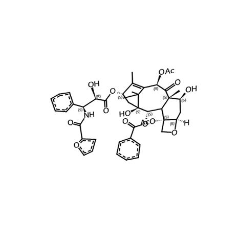 CC(=O)O[C@H]1C(=O)[C@@]2(C)C([C@H](OC(=O)c3ccccc3)[C@]3(O)C[C@H](OC(=O)[C@H](O)[C@@H](NC(=O)c4ccco4)c4ccccc4)C(C)=C1C3(C)C)[C@]1(OC(C)=O)CO[C@@H]1C[C@@H]2O